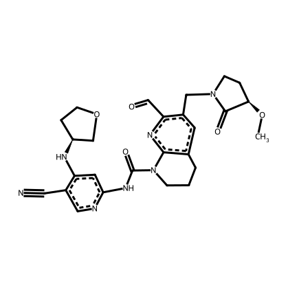 CO[C@@H]1CCN(Cc2cc3c(nc2C=O)N(C(=O)Nc2cc(N[C@H]4CCOC4)c(C#N)cn2)CCC3)C1=O